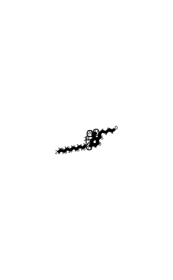 C/C=C/CCc1cc2ccc(OCCCCCCCCCC)c(F)c2c(=O)o1